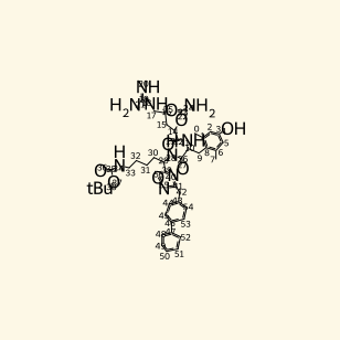 Cc1cc(O)cc(C)c1CC(NC(=O)C(CCCNC(=N)N)OC(N)=O)C(=O)NC(CCCCNC(=O)OC(C)(C)C)c1nc(Cc2ccc(-c3ccccc3)cc2)no1